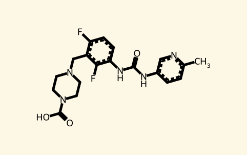 Cc1ccc(NC(=O)Nc2ccc(F)c(CN3CCN(C(=O)O)CC3)c2F)cn1